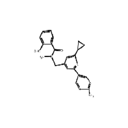 CN(Cc1cc(-c2cnc(C(F)(F)F)nc2)nc(C2CC2)c1)C(=O)c1ccccc1C=O